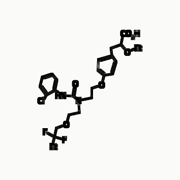 CCOC(Cc1ccc(OCCN(CCOCC(F)(F)CC)C(=O)Nc2ccccc2Cl)cc1)C(=O)O